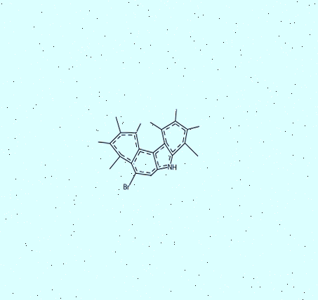 Cc1c(C)c(C)c2c([nH]c3cc(Br)c4c(C)c(C)c(C)c(C)c4c32)c1C